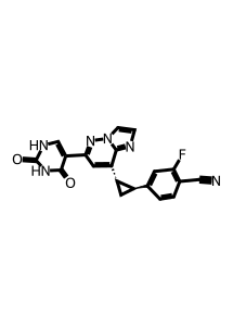 N#Cc1ccc([C@H]2C[C@@H]2c2cc(-c3c[nH]c(=O)[nH]c3=O)nn3ccnc23)cc1F